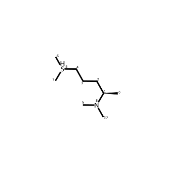 C[C@H](CCC[SH](C)C)N(C)C